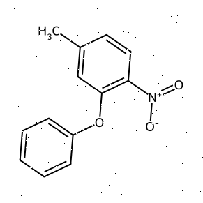 Cc1ccc([N+](=O)[O-])c(Oc2ccccc2)c1